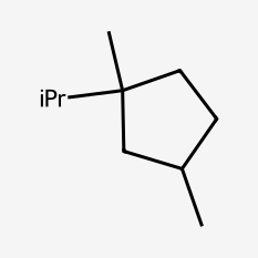 CC1CCC(C)(C(C)C)C1